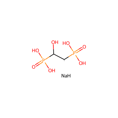 O=P(O)(O)[CH]C(O)P(=O)(O)O.[NaH]